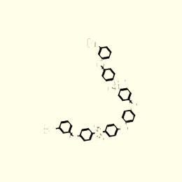 O=S(=O)(c1ccc(Oc2ccc(Oc3ccc(S(=O)(=O)c4ccc(Oc5cccc(Br)c5)cc4)cc3)cc2)cc1)c1ccc(Oc2cccc(Br)c2)cc1